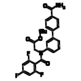 CC(C)(C)OC(=O)CN(C(=O)c1c(F)cc(F)cc1F)c1cccc(-c2ccc(C(N)=O)cc2)c1